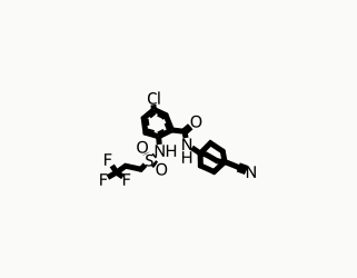 N#CC12CCC(NC(=O)c3cc(Cl)ccc3NS(=O)(=O)CCC(F)(F)F)(CC1)CC2